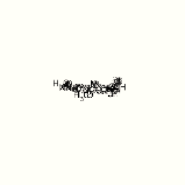 COc1cc2c(Oc3ccc(NC(=O)C4(C(=O)Nc5ccccc5)CC4)cc3)ccnc2cc1OCC1CCN(CCNS(C)(=O)=O)CC1